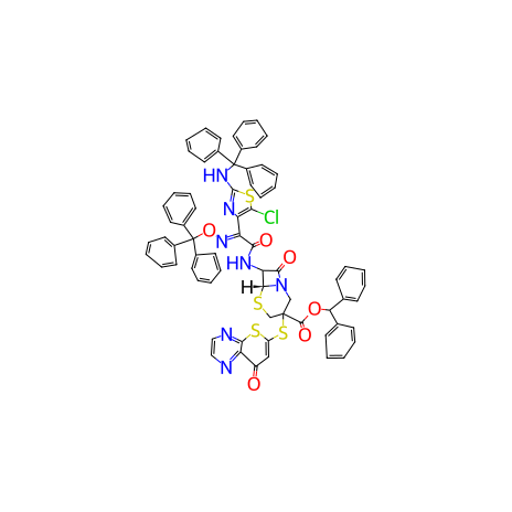 O=C(NC1C(=O)N2CC(Sc3cc(=O)c4nccnc4s3)(C(=O)OC(c3ccccc3)c3ccccc3)CS[C@H]12)C(=NOC(c1ccccc1)(c1ccccc1)c1ccccc1)c1nc(NC(c2ccccc2)(c2ccccc2)c2ccccc2)sc1Cl